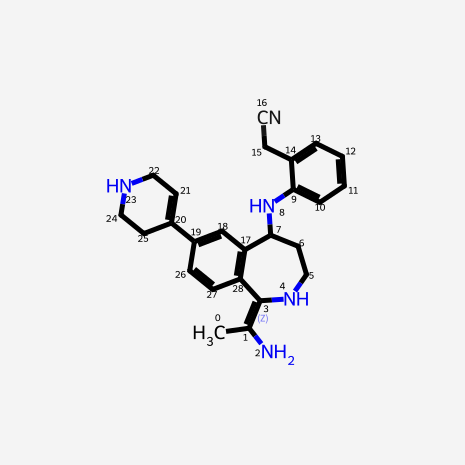 C/C(N)=C1/NCCC(Nc2ccccc2CC#N)c2cc(C3=CCNCC3)ccc21